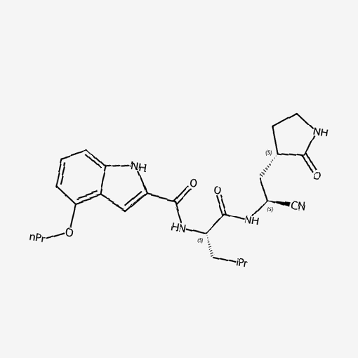 CCCOc1cccc2[nH]c(C(=O)N[C@@H](CC(C)C)C(=O)N[C@H](C#N)C[C@@H]3CCNC3=O)cc12